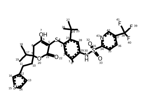 Cc1cc(SC2=C(O)CC(CCc3ccsc3)(C(C)C)OC2=O)c(C(C)(C)C)cc1NS(=O)(=O)c1ccc(C(F)(F)F)cn1